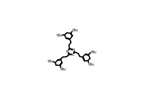 CC(C)(C)C1=CC(CCc2nc(CCC3=CC(C(C)(C)C)CC(C(C)(C)C)=C3)nc(CCC3=CC(C(C)(C)C)CC(C(C)(C)C)=C3)n2)=CC(C(C)(C)C)C1